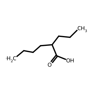 [CH2]CCCC(CCC)C(=O)O